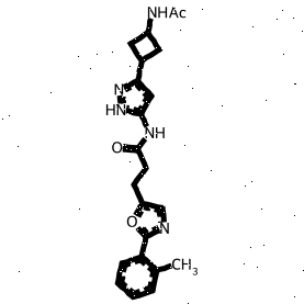 CC(=O)NC1CC(c2cc(NC(=O)CCc3cnc(-c4ccccc4C)o3)[nH]n2)C1